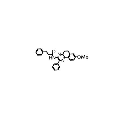 COc1ccc2c(c1)CCc1nc(NC(=O)CCc3ccccc3)c(-c3ccccc3)nc1-2